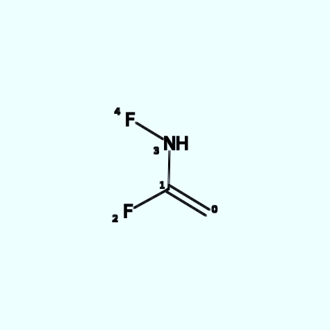 C=C(F)NF